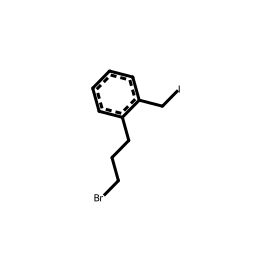 BrCCCc1ccccc1CI